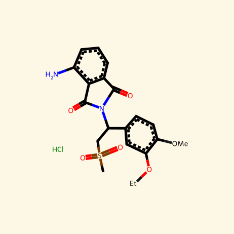 CCOc1cc(C(CS(C)(=O)=O)N2C(=O)c3cccc(N)c3C2=O)ccc1OC.Cl